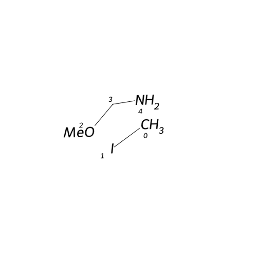 CI.COCN